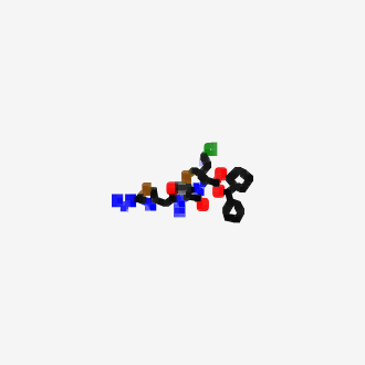 Nc1nc(CC(=O)NC2C(=O)N3C(C(=O)OC(c4ccccc4)c4ccccc4)=C(/C=C/Cl)CS[C@H]23)cs1